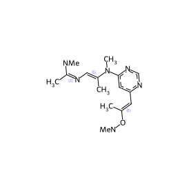 CNO/C(C)=C/c1cc(N(C)/C(C)=C/N=C(/C)NC)ncn1